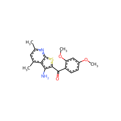 COc1ccc(C(=O)c2sc3nc(C)cc(C)c3c2N)c(OC)c1